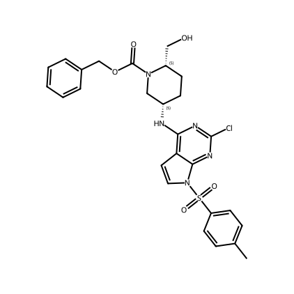 Cc1ccc(S(=O)(=O)n2ccc3c(N[C@H]4CC[C@@H](CO)N(C(=O)OCc5ccccc5)C4)nc(Cl)nc32)cc1